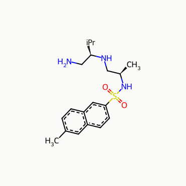 Cc1ccc2cc(S(=O)(=O)N[C@H](C)CN[C@@H](CN)C(C)C)ccc2c1